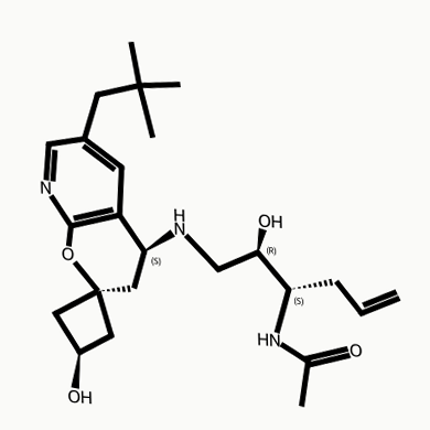 C=CC[C@H](NC(C)=O)[C@H](O)CN[C@H]1C[C@]2(C[C@H](O)C2)Oc2ncc(CC(C)(C)C)cc21